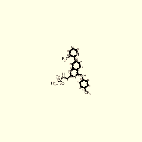 CS(=O)(=O)NCc1nc(Nc2ccc(C(F)(F)F)cc2)c2ccc(-c3ncccc3C(F)(F)F)cc2n1